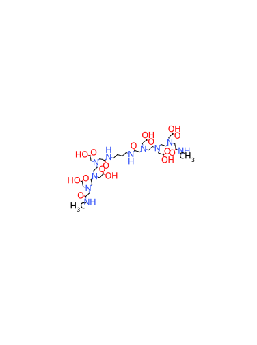 CNC(=O)CN(CCN(CCN(CC(=O)O)CC(=O)NCCCCNC(=O)CN(CCN(CCN(CC(=O)O)CC(=O)NC)CC(=O)O)CC(=O)O)CC(=O)O)CC(=O)O